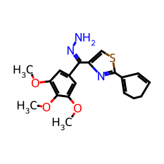 COc1cc(C(=NN)c2csc(C3=CCCC=C3)n2)cc(OC)c1OC